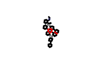 C=C(c1ccccc1/C=C\C)N(c1ccc(-c2ccccc2)cc1)c1ccccc1-c1ccc(-c2ccccc2N(c2ccc(-c3ccccc3)cc2)c2cccc3ccccc23)cc1